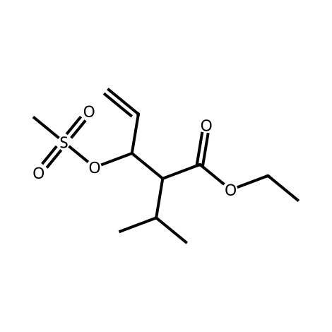 C=CC(OS(C)(=O)=O)C(C(=O)OCC)C(C)C